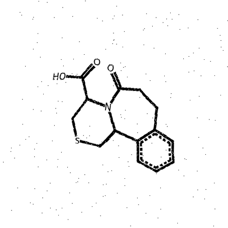 O=C(O)C1CSCC2c3ccccc3CCC(=O)N12